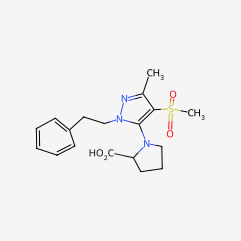 Cc1nn(CCc2ccccc2)c(N2CCCC2C(=O)O)c1S(C)(=O)=O